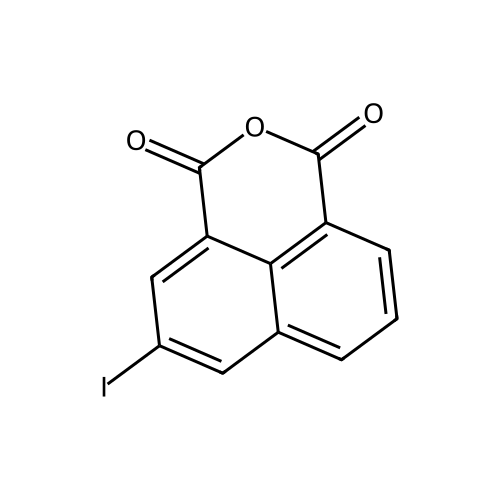 O=C1OC(=O)c2cc(I)cc3cccc1c23